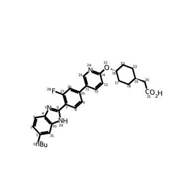 CCCCc1ccc2nc(-c3ccc(-c4ccc(O[C@H]5CC[C@H](CC(=O)O)CC5)nc4)cc3F)[nH]c2c1